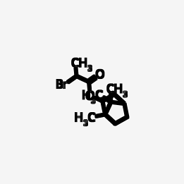 CC(Br)C(=O)OC1CC2CCC1(C)C2(C)C